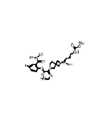 CCN(C(=O)c1cc(F)ccc1OC1=NNCN=C1N1CCC2(C1)CN([C@@H](CCCNC(=O)OC(C)(C)C)C(C)C)C2)C(C)C